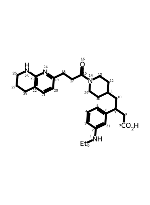 CCNc1cccc(C(CC(=O)O)CC2CCN(C(=O)CCc3ccc4c(n3)NCCC4)CC2)c1